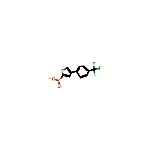 O=S(O)c1cc(-c2ccc(C(F)(F)F)cc2)cs1